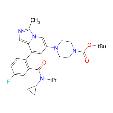 Cc1ncc2c(-c3ccc(F)cc3C(=O)N(C(C)C)C3CC3)cc(N3CCN(C(=O)OC(C)(C)C)CC3)cn12